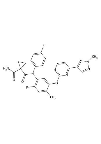 Cc1cc(F)c(N(C(=O)C2(C(N)=O)CC2)c2ccc(F)cc2)cc1Oc1nccc(-c2cnn(C)c2)n1